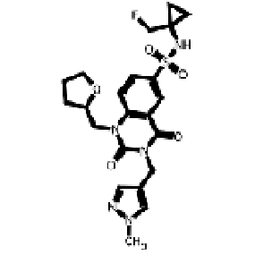 Cn1cc(Cn2c(=O)c3cc(S(=O)(=O)NC4(CF)CC4)ccc3n(CC3CCCO3)c2=O)cn1